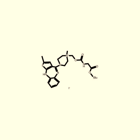 Cc1cc2c(s1)Nc1ccccc1N=C2N1CC[N+](C)(COC(=O)NCC(=O)OC(C)(C)C)CC1.[I-]